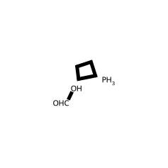 C1CCC1.O=CO.P